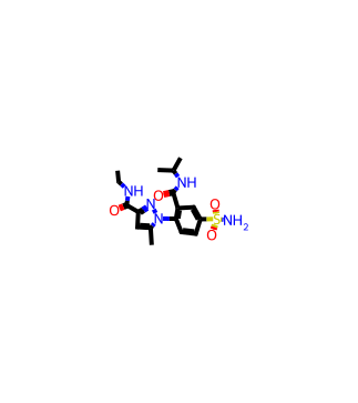 CCNC(=O)c1cc(C)n(-c2ccc(S(N)(=O)=O)cc2C(=O)NC(C)C)n1